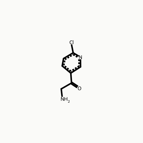 NCC(=O)c1ccc(Cl)nc1